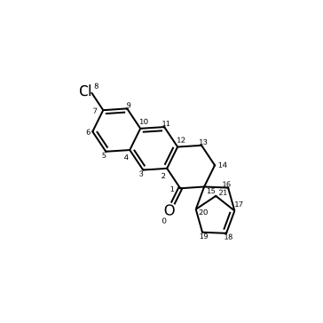 O=C1c2cc3ccc(Cl)cc3cc2CCC12CC1=CCC2C1